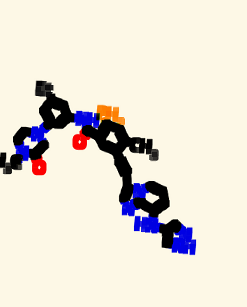 CCc1cc(NC(=O)c2cc(C#Cc3cnc4c(Nc5cn[nH]c5)cccn34)c(C)cc2P)cc(N2CCN(C)C(=O)C2)c1